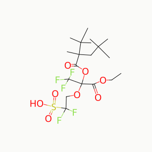 CCOC(=O)C(OCC(F)(F)S(=O)(=O)O)(OC(=O)C(C)(CC(C)(C)C)C(C)(C)C)C(F)(F)F